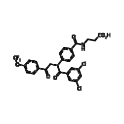 O=C(O)CCNC(=O)c1ccc(C(CC(=O)c2ccc(OC(F)(F)F)cc2)C(=O)c2cc(Cl)cc(Cl)c2)cc1